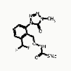 CSC(=O)NOCc1c(C(F)F)cccc1-n1nnn(C)c1=O